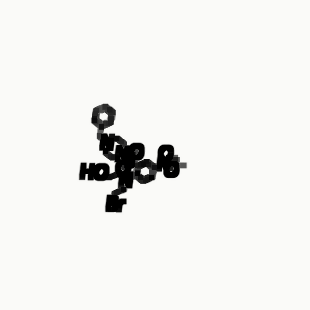 O=[N+]([O-])c1ccc(N(CCO)CCBr)c(S(=O)(=O)N2CCN(Cc3ccccc3)CC2)c1